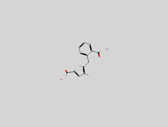 COC(=O)c1cc(C)c(Cc2ccccc2C(=O)OC)s1